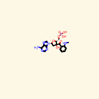 CNc1ccccc1C(=O)[C@]1(O)C[C@H](n2cnc3c(N)ncnc32)O[C@@H]1COP(=O)(O)O